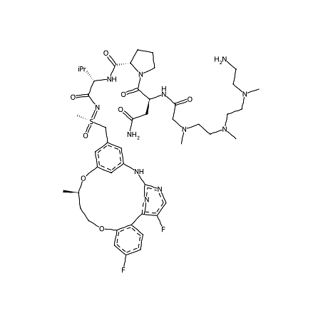 CC(C)[C@H](NC(=O)[C@@H]1CCCN1C(=O)[C@H](CC(N)=O)NC(=O)CN(C)CCN(C)CCN(C)CCN)C(=O)N=[S@](C)(=O)Cc1cc2cc(c1)O[C@H](C)CCOc1cc(F)ccc1-c1nc(ncc1F)N2